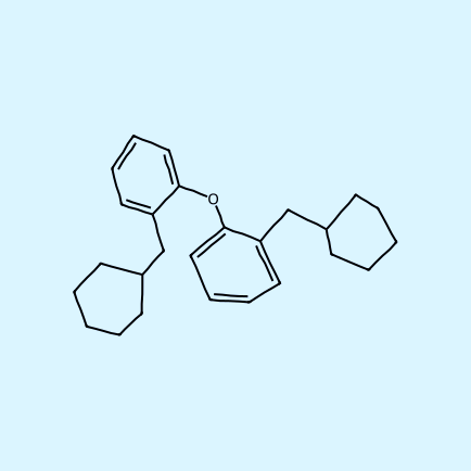 c1ccc(Oc2ccccc2CC2CCCCC2)c(CC2CCCCC2)c1